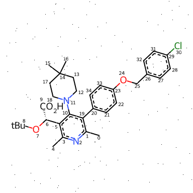 Cc1nc(C)c([C@H](OC(C)(C)C)C(=O)O)c(N2CCC(C)(C)CC2)c1-c1ccc(OCc2ccc(Cl)cc2)cc1